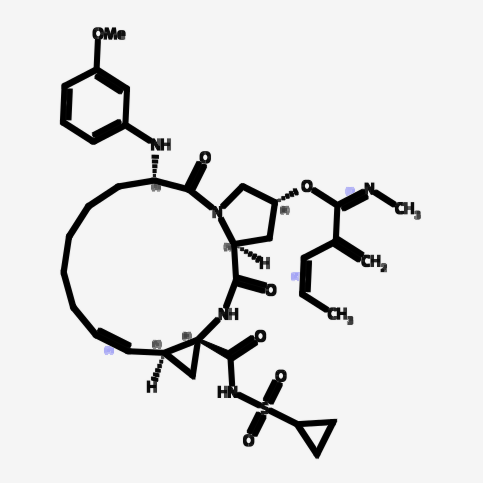 C=C(/C=C\C)/C(=N\C)O[C@@H]1C[C@H]2C(=O)N[C@]3(C(=O)NS(=O)(=O)C4CC4)C[C@H]3/C=C\CCCCC[C@H](Nc3cccc(OC)c3)C(=O)N2C1